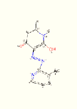 CC(=O)c1cccnc1N=NC1=C(O)N(C)C(C)CC1=O